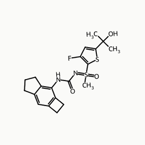 CC(C)(O)c1cc(F)c(S(C)(=O)=NC(=O)Nc2c3c(cc4c2CC4)CCC3)s1